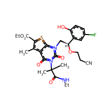 CCNC(=O)C(C)(C)n1c(=O)c2c(C)c(C(=O)OCC)sc2n(C[C@H](OCCC#N)c2cc(F)ccc2O)c1=O